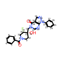 O=C(c1ccccc1)N1CC[C@](O)(Cn2cnc3c(cnn3-c3ccccc3)c2=O)[C@@H](F)C1